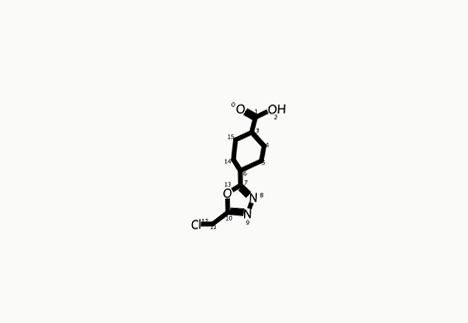 O=C(O)C1CCC(c2nnc(CCl)o2)CC1